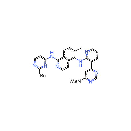 CNc1cc(-c2cccnc2Nc2c(C)ccc3c(Nc4ccnc(C(C)(C)C)n4)nccc23)ncn1